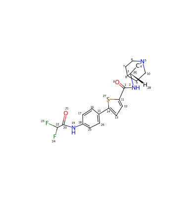 O=C(N[C@H]1CN2CCC1CC2)c1ccc(-c2ccc(NC(=O)C(F)F)cc2)s1